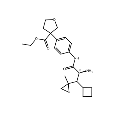 CCOC(=O)C1(c2ccc(NC(=O)[C@@H](N)C(C3CCC3)C3(C)CC3)cc2)CCOC1